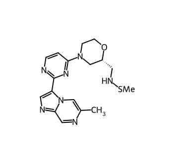 CSNC[C@@H]1CN(c2ccnc(-c3cnc4cnc(C)cn34)n2)CCO1